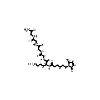 NC(=O)CNC(=O)CNC(=O)CNC(=O)CNC(=O)C(CCCC(=O)O)NC(=O)CCCCCN1C(=O)C=CC1=O